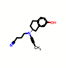 CC#CN(CCCC#N)[C@@H]1CCc2ccc(O)cc2C1